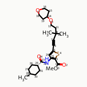 COC(=O)c1sc(C#CC(C)(C)CCOC2CCOCC2)cc1NC(=O)[C@H]1CC[C@H](C)CC1